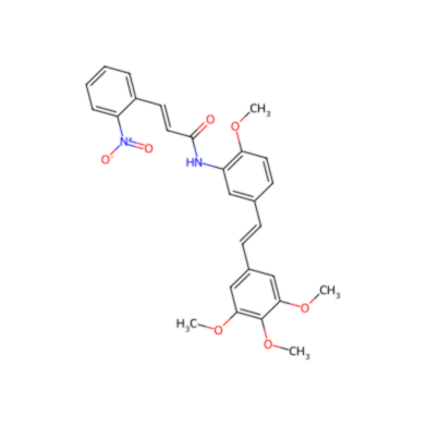 COc1ccc(/C=C/c2cc(OC)c(OC)c(OC)c2)cc1NC(=O)/C=C/c1ccccc1[N+](=O)[O-]